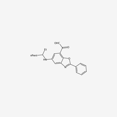 CCCCCC(CC)Nc1cc(C(=O)C=O)c2oc(-c3ccccc3)nc2c1